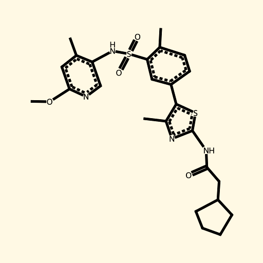 COc1cc(C)c(NS(=O)(=O)c2cc(-c3sc(NC(=O)CC4CCCC4)nc3C)ccc2C)cn1